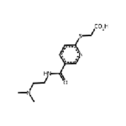 CN(C)CCNC(=O)c1ccc(SCC(=O)O)nc1